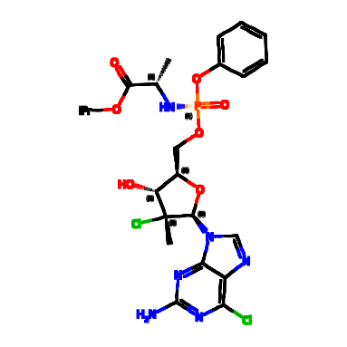 CC(C)OC(=O)[C@H](C)N[P@](=O)(OC[C@H]1O[C@@H](n2cnc3c(Cl)nc(N)nc32)[C@](C)(Cl)[C@@H]1O)Oc1ccccc1